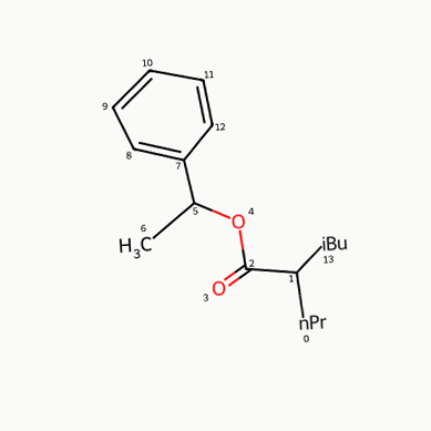 CCCC(C(=O)OC(C)c1ccccc1)C(C)CC